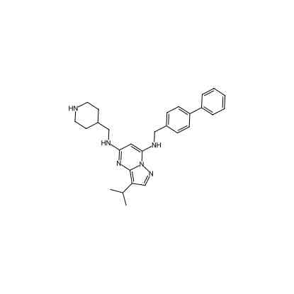 CC(C)c1cnn2c(NCc3ccc(-c4ccccc4)cc3)cc(NCC3CCNCC3)nc12